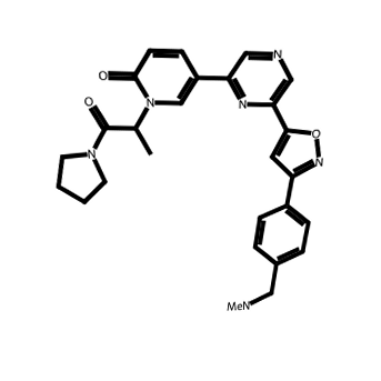 CNCc1ccc(-c2cc(-c3cncc(-c4ccc(=O)n(C(C)C(=O)N5CCCC5)c4)n3)on2)cc1